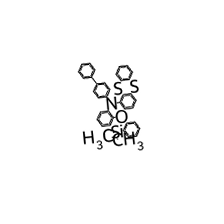 C[Si]1(C)c2ccccc2Oc2c(N(c3ccc(-c4ccccc4)cc3)c3cccc4c3Sc3ccccc3S4)cccc21